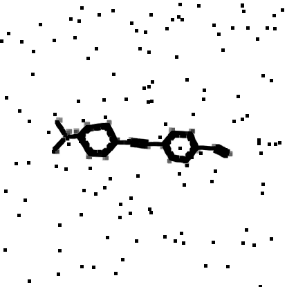 C#Cc1ccc(C#Cc2ccc(N(C)C)cc2)cc1